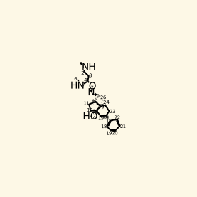 CNCCC(NC)ON=C[C@H]1CC[C@]2(O)C[C@@H](c3ccccc3)CC[C@]12C